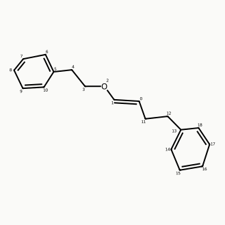 C(=COCCc1ccccc1)CCc1ccccc1